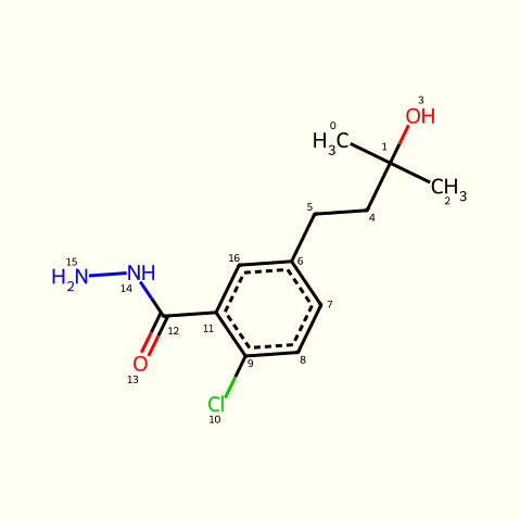 CC(C)(O)CCc1ccc(Cl)c(C(=O)NN)c1